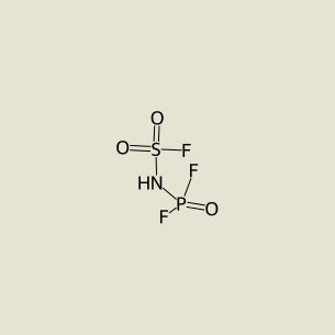 O=P(F)(F)NS(=O)(=O)F